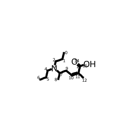 CCCN(CCC)C(C)CC=C(C)C(=O)O